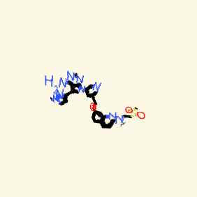 CN(CCS(C)(=O)=O)c1ccc2ccc(OCc3cncc(-n4cc(-c5ccn(C)n5)c5c(N)ncnc54)c3)cc2n1